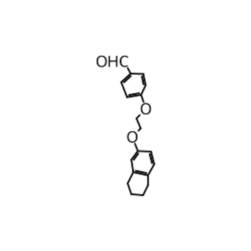 O=Cc1ccc(OCCOc2ccc3c(c2)CCCC3)cc1